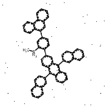 C[SiH2]c1cc(-c2cc3ccccc3c3ccccc23)ccc1-c1ccc2c(-c3ccc4ccccc4c3)c3ccccc3c(-c3ccc4ccccc4c3)c2c1